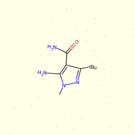 Cn1nc(C(C)(C)C)c(C(N)=O)c1N